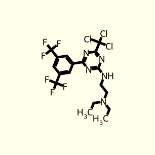 CCN(CC)CCNc1nc(-c2cc(C(F)(F)F)cc(C(F)(F)F)c2)nc(C(Cl)(Cl)Cl)n1